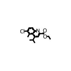 CCOC(=O)c1cc(C(C)C)c2c(C)c(Cl)ccc2n1